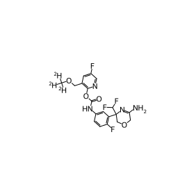 [2H]C([2H])([2H])OCc1cc(F)cnc1OC(=O)Nc1ccc(F)c(C2(C(F)F)COCC(N)=N2)c1